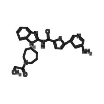 C=CC(=O)N1CCC[C@@H](n2c(NC(=O)c3ccc(-c4cncc(N)c4)s3)nc3ccccc32)CC1